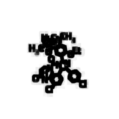 CCOc1cc(N(C)C)c(S(=O)(=O)N(C)C)cc1C1=NC(c2ccc(Cl)cc2)C(c2ccc(Cl)cc2)N1C(=O)N1CCNC(=O)CC1